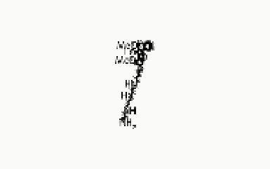 COC(=O)C1C(O)C2c3c(OC)cc(OCCCCNCCCNCCCCNCCCN)cc3OC2[C@@H]1c1ccccc1